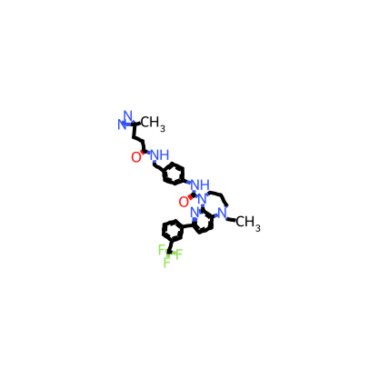 CCN1CCCN(C(=O)Nc2ccc(CNC(=O)CCC3(C)N=N3)cc2)c2nc(-c3cccc(C(F)(F)F)c3)ccc21